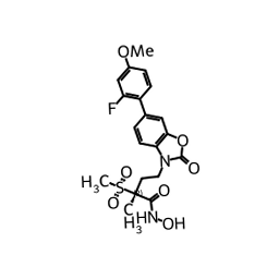 COc1ccc(-c2ccc3c(c2)oc(=O)n3CC[C@](C)(C(=O)NO)S(C)(=O)=O)c(F)c1